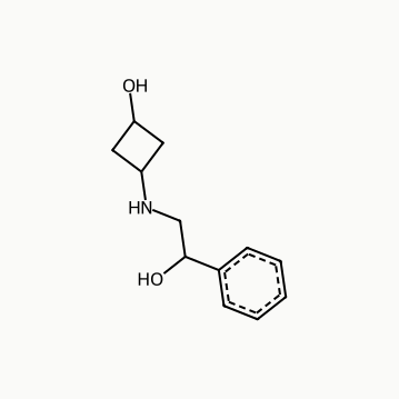 OC1CC(NCC(O)c2ccccc2)C1